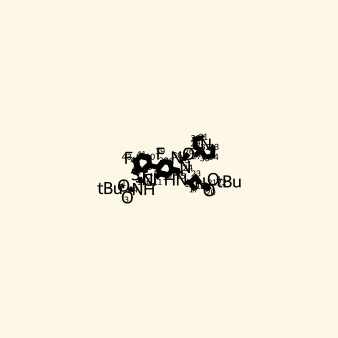 CC(C)(C)OC(=O)Nc1nc2c(-c3c(Cl)cc4c(NC5CN(C(=O)OC(C)(C)C)C5)nc(OCC56CCCN5CCC6)nc4c3F)ccc(F)c2s1